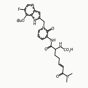 CC(C)COc1c(F)cnc2cc(Cn3cccc(NC(=O)C(CC/C=C/C(=O)N(C)C)NC(=O)O)c3=O)[nH]c12